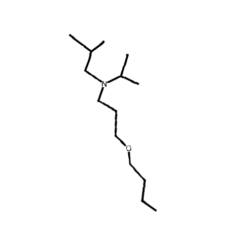 CCCCOCCCN(CC(C)C)C(C)C